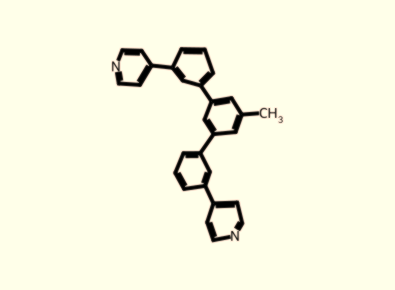 Cc1cc(-c2cccc(-c3ccncc3)c2)cc(-c2cccc(-c3ccncc3)c2)c1